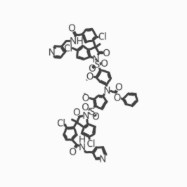 COc1cc(N(C(=O)Oc2ccccc2)c2ccc(S(=O)(=O)N3C(=O)C(C)(c4cc(C(=O)NCc5cccnc5)ccc4Cl)c4cc(Cl)ccc43)c(OC)c2)ccc1S(=O)(=O)N1C(=O)C(C)(c2cc(C(=O)NCc3cccnc3)ccc2Cl)c2cc(Cl)ccc21